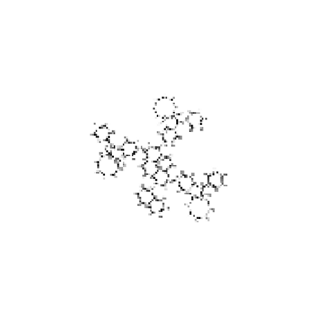 CC12CCCCCCC1(C)N(c1ccccc1)c1ccc(-c3cc(-c4ccc5c(c4)C4(C)CCCCCCC4(C)N5c4ccccc4)c4ccc5c(-c6cccc7ccccc67)cc(-c6ccc7c(c6)C6(C)CCCCCCC6(C)N7c6ccccc6)c6ccc3c4c65)cc12